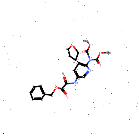 CC(C)(C)OC(=O)N(C(=O)OC(C)(C)C)c1ncc(NC(=O)C(=O)OCc2ccccc2)cc1[C@@H]1CCOC1